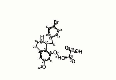 COc1cc2c(c(OC)c1)C(Cc1ccc(Br)cc1)NCC2.O=C(O)C(=O)O